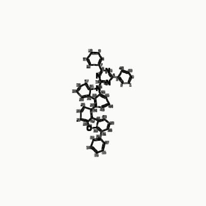 c1ccc(-c2nc(-c3ccccc3)nc(-n3c4ccccc4c4c(-c5cccc6oc7c(-c8ccccc8)cccc7c56)cccc43)n2)cc1